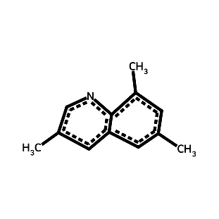 Cc1cnc2c(C)cc(C)cc2c1